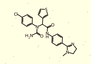 CN1CCN=C1c1ccc(NC(=O)C(c2ccsc2)N(C(N)=O)c2ccc(Cl)cc2)cc1